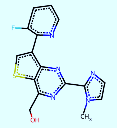 Cn1ccnc1-c1nc(CO)c2scc(-c3ncccc3F)c2n1